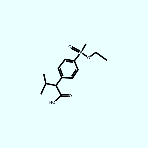 CCOP(C)(=O)c1ccc(C(C(=O)O)C(C)C)cc1